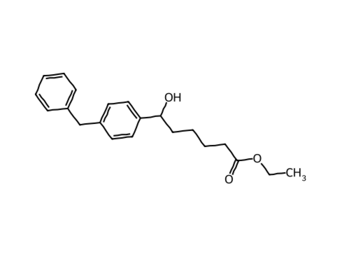 CCOC(=O)CCCCC(O)c1ccc(Cc2ccccc2)cc1